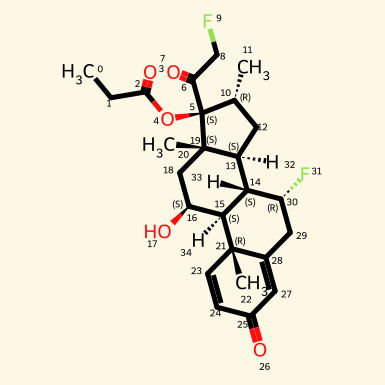 CCC(=O)O[C@@]1(C(=O)CF)[C@H](C)C[C@H]2[C@H]3[C@H]([C@@H](O)C[C@@]21C)[C@@]1(C)C=CC(=O)C=C1C[C@H]3F